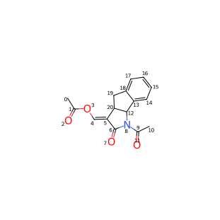 CC(=O)OC=C1C(=O)N(C(C)=O)C2c3ccccc3CC12